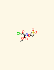 CCOC(=O)C(=NOC1CCS(=O)(=O)C1)C(=O)CCl